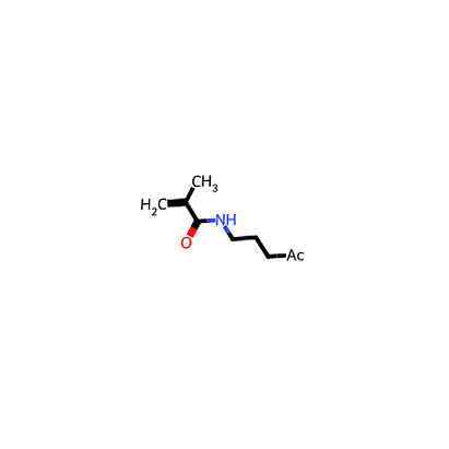 C=C(C)C(=O)NCCCC(C)=O